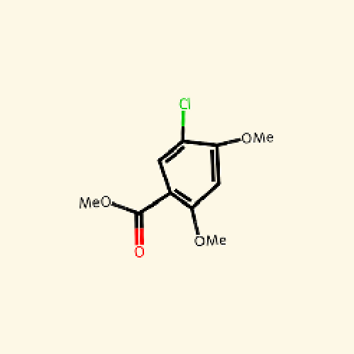 COC(=O)c1cc(Cl)c(OC)cc1OC